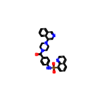 O=C(c1ccc(NS(=O)(=O)c2cccc3cccnc23)cc1)N1CCN(c2cncc3ccccc23)CC1